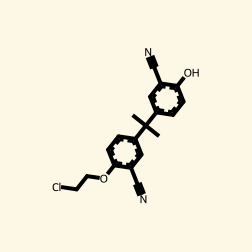 CC(C)(c1ccc(O)c(C#N)c1)c1ccc(OCCCl)c(C#N)c1